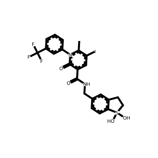 Cc1c(I)cc(C(=O)NCc2ccc3c(c2)CCS3(O)O)c(=O)n1-c1cccc(C(F)(F)F)c1